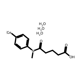 CN(C(=O)CCCC(=O)O)c1cc[c]([Ge])cc1.O.O.O